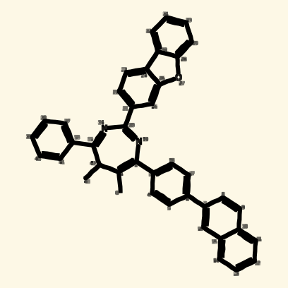 CC1=C(c2ccc(-c3ccc4ccccc4c3)cc2)N=C(c2ccc3c(c2)oc2ccccc23)N=C(c2ccccc2)C1C